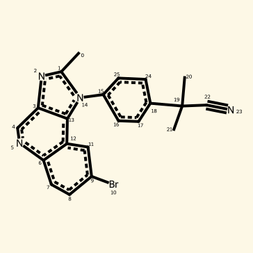 Cc1nc2cnc3ccc(Br)cc3c2n1-c1ccc(C(C)(C)C#N)cc1